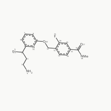 CCC(CCN)c1cccc(OCc2ccc(C(=O)NC)cc2F)n1